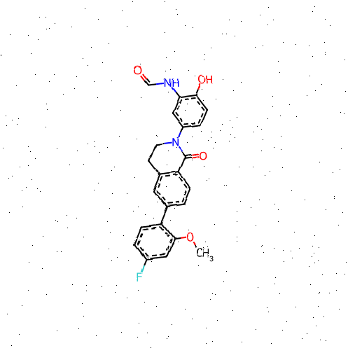 COc1cc(F)ccc1-c1ccc2c(c1)CCN(c1ccc(O)c(NC=O)c1)C2=O